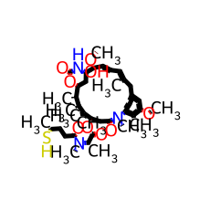 COc1cc2cc(c1C)N(C)C(=O)C[C@H](OC(=O)[C@H](C)N(C)C(=O)CCC(C)S)C(C)(C)[C@@H](C)[C@H](C)C1C[C@@](O)(NC(=O)O1)[C@H](OC)/C=C/C=C(\C)C2